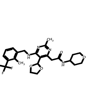 Cc1nc(CC(=O)NC2CCOCC2)c(C2OCCO2)c(NCc2cccc(C(F)(F)F)c2C)n1